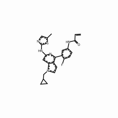 C=CC(=O)Nc1ccc(F)c(-c2nc(Nc3ncc(C)s3)cc3c2ccn3CC2CC2)c1